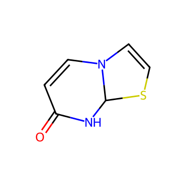 O=C1C=CN2C=CSC2N1